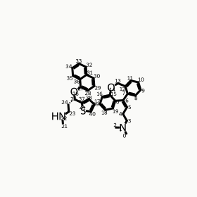 CN(C)CCC=C1c2ccccc2COc2ccccc21.CNCC[C@H](Oc1cccc2ccccc12)c1cccs1